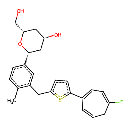 Cc1ccc([C@H]2C[C@@H](O)C[C@@H](CO)O2)cc1Cc1ccc(C2=CC=C(F)CC=C2)s1